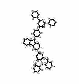 c1ccc(-c2nc(-c3ccccc3)nc(-c3ccc(-n4c5ccccc5c5cc(-c6cc7c8c(c6)Oc6ccccc6N8c6ccccc6O7)ccc54)cc3)n2)cc1